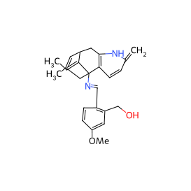 C=C1C=CC2=C(CC3C=C(C)CC2(/N=C/c2ccc(OC)cc2CO)/C3=C/C)N1